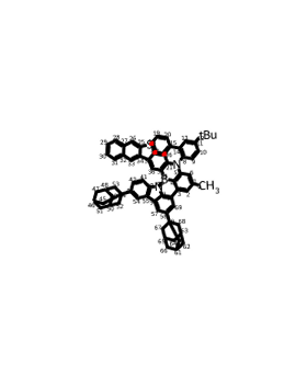 Cc1cc2c3c(c1)N(c1ccc(C(C)(C)C)cc1-c1ccccc1)c1cc4sc5cc6ccccc6cc5c4cc1B3n1c3ccc(C45CC6CC(CC(C6)C4)C5)cc3c3cc(C45CC6CC(CC(C6)C4)C5)cc-2c31